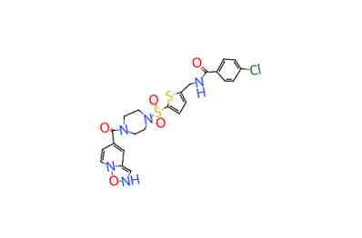 O=C(NCc1ccc(S(=O)(=O)N2CCN(C(=O)C3=CC4=CNON4C=C3)CC2)s1)c1ccc(Cl)cc1